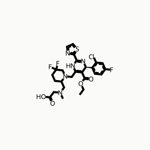 CCOC(=O)C1=C(CN2CC(F)(F)CCC2CN(C)CC(=O)O)NC(c2nccs2)=N[C@H]1c1ccc(F)cc1Cl